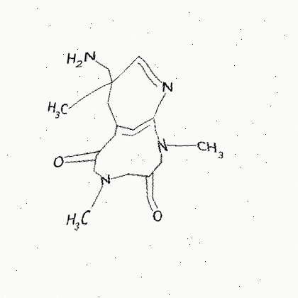 Cn1c2c(c(=O)n(C)c1=O)C(C)(N)C=N2